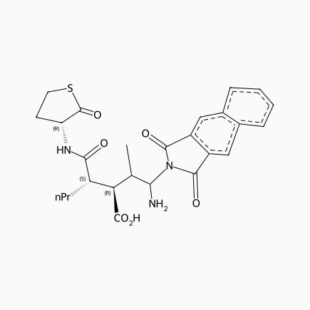 CCC[C@H](C(=O)N[C@@H]1CCSC1=O)[C@H](C(=O)O)C(C)C(N)N1C(=O)c2cc3ccccc3cc2C1=O